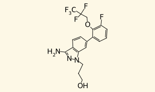 Nc1nn(CCCO)c2cc(-c3cccc(F)c3OCC(F)(F)C(F)(F)F)ccc12